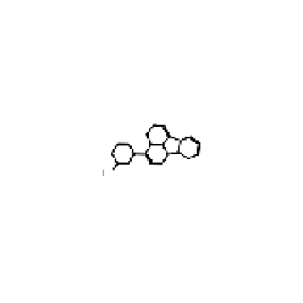 BrC1CCCC(C2=CCC3C4CCC=CC4C4=CCCC2C43)C1